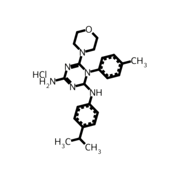 Cc1ccc(N2C(N3CCOCC3)=NC(N)=NC2Nc2ccc(C(C)C)cc2)cc1.Cl